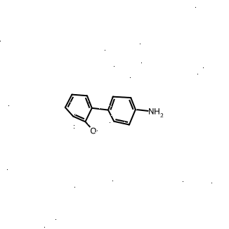 Nc1ccc(-c2ccccc2[O])cc1